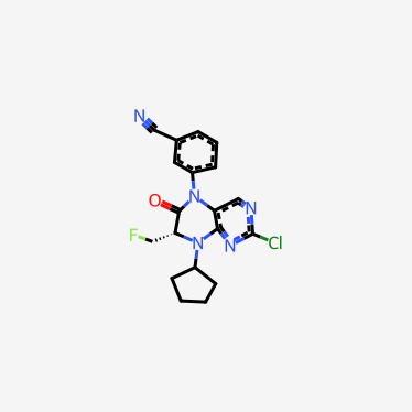 N#Cc1cccc(N2C(=O)[C@@H](CF)N(C3CCCC3)c3nc(Cl)ncc32)c1